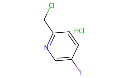 Cl.ClCc1ccc(I)cn1